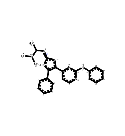 CC(/N=c1\[nH]c(-c2ccccc2)c(-c2ccnc(Nc3ccccc3)n2)s1)N(C)C